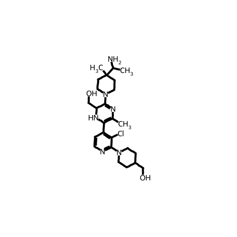 CC1=C(c2ccnc(N3CCC(CO)CC3)c2Cl)NC(CO)C(N2CCC(C)(C(C)N)CC2)=N1